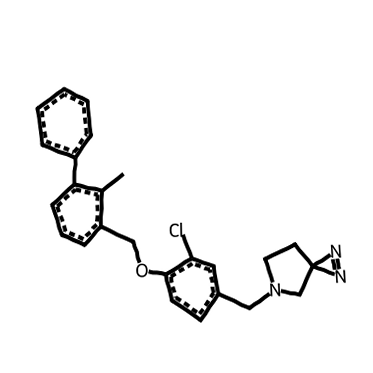 Cc1c(COc2ccc(CN3CCC4(C3)N=N4)cc2Cl)cccc1-c1ccccc1